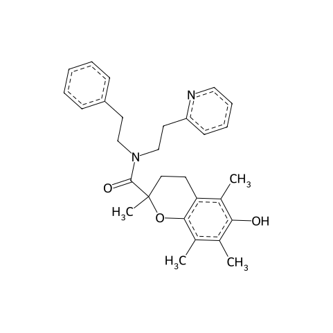 Cc1c(C)c2c(c(C)c1O)CCC(C)(C(=O)N(CCc1ccccc1)CCc1ccccn1)O2